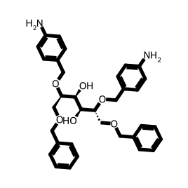 Nc1ccc(CO[C@H](COCc2ccccc2)[C@@H](O)[C@H](O)[C@@H](COCc2ccccc2)OCc2ccc(N)cc2)cc1